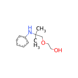 CC(C)(COCCO)Nc1ccccc1